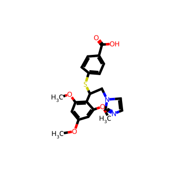 COc1cc(OC)c(C(Cn2ccnc2)Sc2ccc(C(=O)O)cc2)c(OC)c1